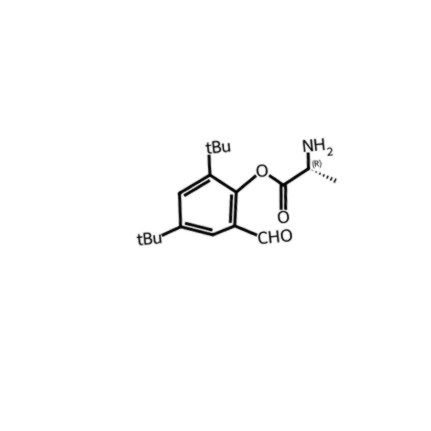 C[C@@H](N)C(=O)Oc1c(C=O)cc(C(C)(C)C)cc1C(C)(C)C